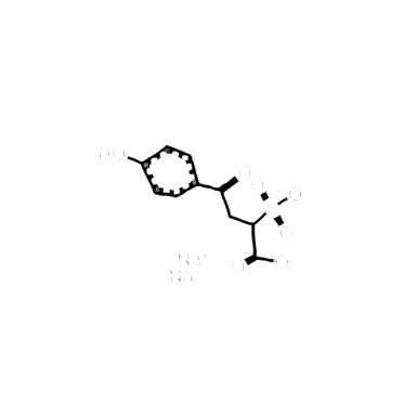 O=C(CC(C(=O)[O-])S(=O)(=O)[O-])c1ccc(O)cc1.[Na+].[Na+]